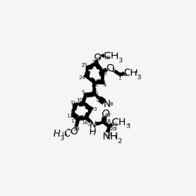 CCOc1cc(C(C#N)=Cc2ccc(OC)c(NC(=O)C(C)N)c2)ccc1OC